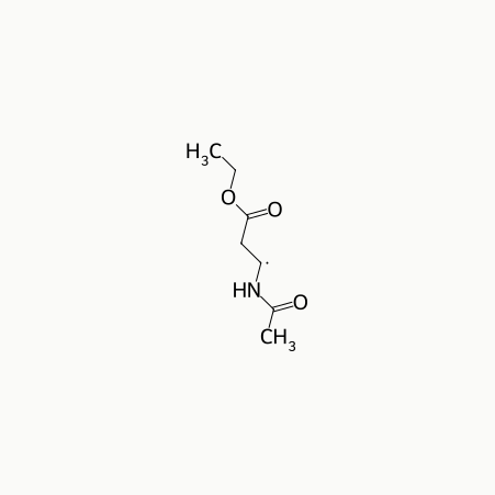 CCOC(=O)C[CH]NC(C)=O